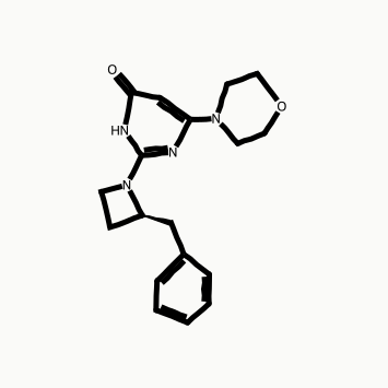 O=c1cc(N2CCOCC2)nc(N2CC[C@@H]2Cc2ccccc2)[nH]1